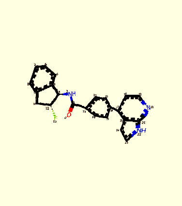 O=C(N[C@@H]1c2ccccc2C[C@H]1F)c1ccc(-c2ccnc3[nH]ccc23)cc1